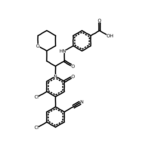 N#Cc1ccc(Cl)cc1-c1cc(=O)n(C(CC2CCCCO2)C(=O)Nc2ccc(C(=O)O)cc2)cc1Cl